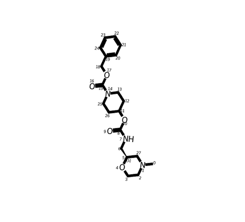 CN1CCO[C@@H](CNC(=O)OC2CCN(C(=O)OCc3ccccc3)CC2)C1